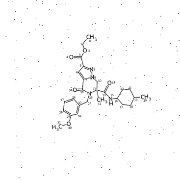 CCOC(=O)c1cc2n(n1)CC(C)(C(=O)NC1CCC(C)CC1)N(Cc1cccc(OC)c1)C2=O